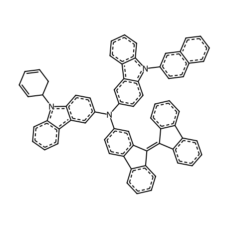 C1=CCC(n2c3ccccc3c3cc(N(c4ccc5c(c4)C(=C4c6ccccc6-c6ccccc64)c4ccccc4-5)c4ccc5c(c4)c4ccccc4n5-c4ccc5ccccc5c4)ccc32)C=C1